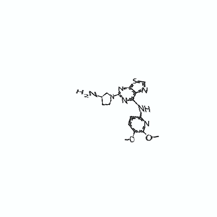 COc1ccc(Nc2nc(N3CCC(N)C3)nc3scnc23)nc1OC